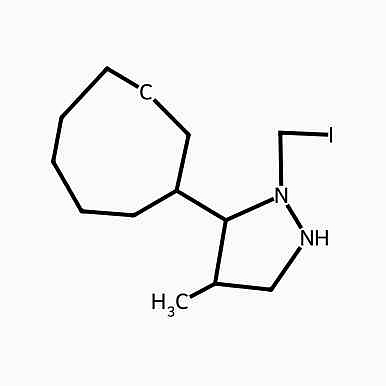 CC1CNN(CI)C1C1CCCCCCC1